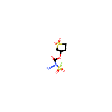 NN(C(=O)OC1CCS(=O)(=O)C1)S(=O)(=O)F